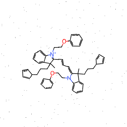 CC1(CCCC2C=CC=C2)C(/C=C/C=C2\N(CCOc3ccccc3)c3ccccc3C2(C)CCCC2C=CC=C2)=[N+](CCOc2ccccc2)c2ccccc21